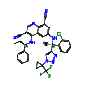 [2H][C@@](Nc1cc(C#N)c2ncc(C#N)c(N[C@H](CC)c3ccccc3)c2c1)(c1cn(C2(C(F)(F)F)CC2)nn1)c1ccccc1Cl